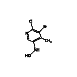 Cc1c(NO)cnc(Cl)c1Br